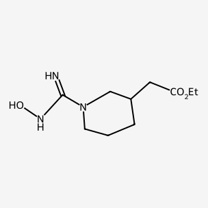 CCOC(=O)CC1CCCN(C(=N)NO)C1